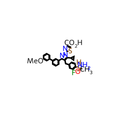 COc1cccc(-c2cccc(-c3nn(-c4nc(C(=O)O)cs4)c(C4CC4)c3Cc3ccc([SH](C)(N)=O)c(F)c3)c2)c1